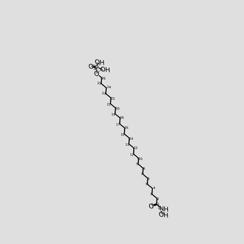 O=C(CCCCCCCCCCCCCCCCCCCCCCCCCOP(=O)(O)O)NO